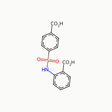 O=C(O)c1ccc(S(=O)(=O)Nc2ccccc2C(=O)O)cc1